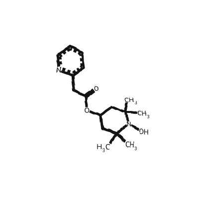 CC1(C)CC(OC(=O)Cc2ccccn2)CC(C)(C)N1O